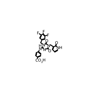 O=C(O)c1ccc(Nc2nc(=O)n(Cc3ccc[nH]c3=O)c(=O)n2Cc2cc(F)c(F)c(F)c2)cc1